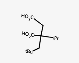 CC(C)C(CC(=O)O)(CC(C)(C)C)C(=O)O